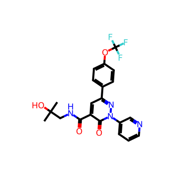 CC(C)(O)CNC(=O)c1cc(-c2ccc(OC(F)(F)F)cc2)nn(-c2cccnc2)c1=O